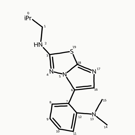 CC(C)CNc1nn2c(-c3ccccc3N(C)C)cnc2s1